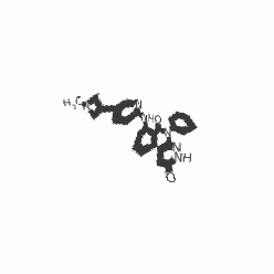 CN1CC(c2ccc(Nc3ccccc3C(=O)N(c3ccccc3)c3ccc(=O)[nH]n3)nc2)C1